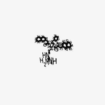 N=C(N)NCCC[C@@H]1CN(C(=O)Cc2ccc3ccccc3c2)[C@H](Cc2ccccc2)CN1C(=O)[C@H](N)Cc1ccc2ccccc2c1